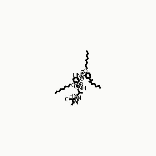 CCCCCCCCOc1ccc(NS(=O)(=O)c2cc(C(C)(C)CCCCC)ccc2OCCCCCCCC)cc1S(=O)(=O)NCC(C)c1nn2nc(C)c(Cl)c2[nH]1